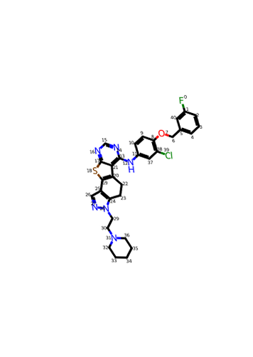 Fc1cccc(COc2ccc(Nc3ncnc4sc5c(c34)CCc3c-5cnn3CCN3CCCCC3)cc2Cl)c1